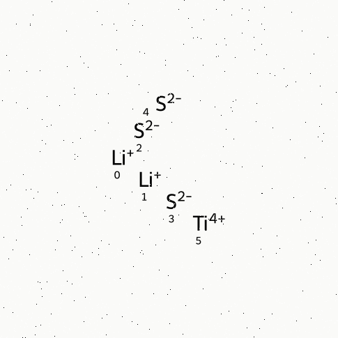 [Li+].[Li+].[S-2].[S-2].[S-2].[Ti+4]